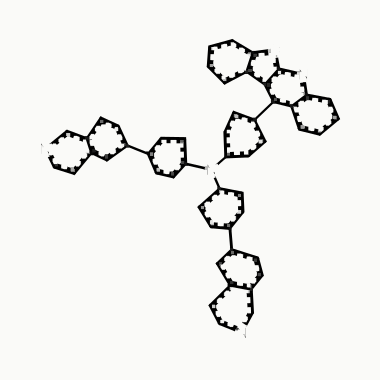 c1ccc2c(-c3ccc(N(c4ccc(-c5ccc6cnccc6c5)cc4)c4ccc(-c5ccc6cnccc6c5)cc4)cc3)c3c(nc2c1)oc1ccccc13